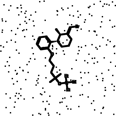 CC[Si](CC)(CC)OC(C)(C)CCCOc1ccccc1[C@H]1CCC/C(=C\Br)[C@@H]1C